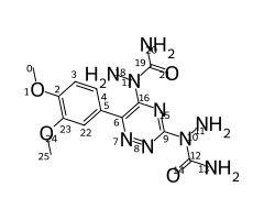 COc1ccc(-c2nnc(N(N)C(N)=O)nc2N(N)C(N)=O)cc1OC